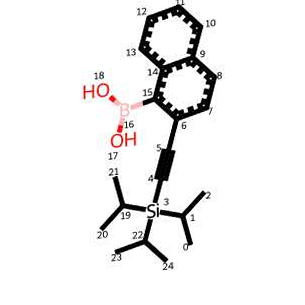 CC(C)[Si](C#Cc1ccc2ccccc2c1B(O)O)(C(C)C)C(C)C